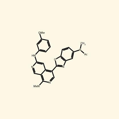 CNc1ncc(-c2nc3cc(N(C)C(C)=O)ccc3o2)c2cc(Nc3cccc(OC)c3)ncc12